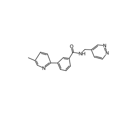 Cc1ccc(-c2cccc(C(=O)NCc3ccnnc3)c2)nc1